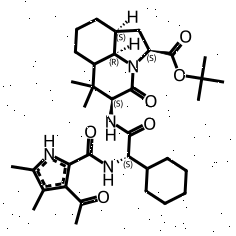 CC(=O)c1c(C(=O)N[C@H](C(=O)N[C@@H]2C(=O)N3[C@H](C(=O)OC(C)(C)C)C[C@@H]4CCCC([C@@H]43)C2(C)C)C2CCCCC2)[nH]c(C)c1C